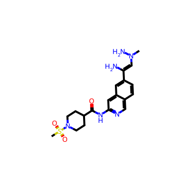 CN(N)/C=C(\N)c1ccc2cnc(NC(=O)C3CCN(S(C)(=O)=O)CC3)cc2c1